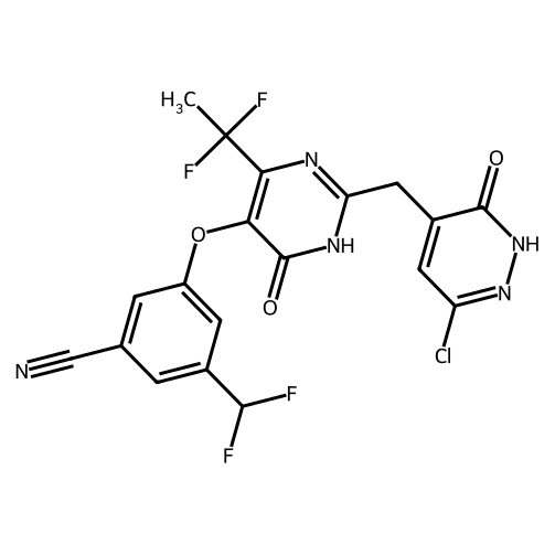 CC(F)(F)c1nc(Cc2cc(Cl)n[nH]c2=O)[nH]c(=O)c1Oc1cc(C#N)cc(C(F)F)c1